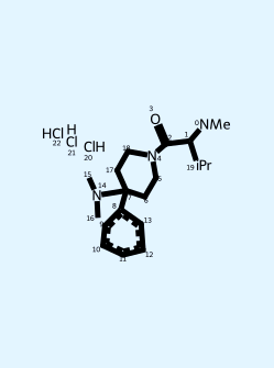 CNC(C(=O)N1CCC(c2ccccc2)(N(C)C)CC1)C(C)C.Cl.Cl.Cl